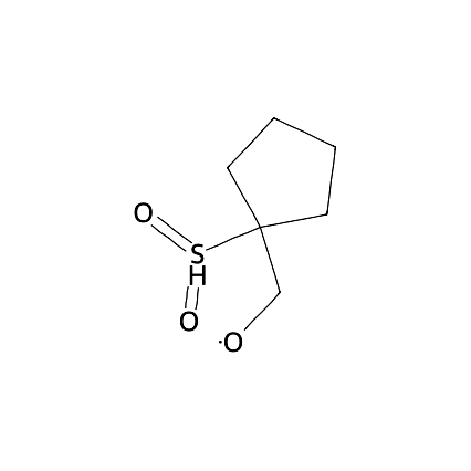 [O]CC1([SH](=O)=O)CCCC1